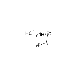 CCC[P].Cl.Cl